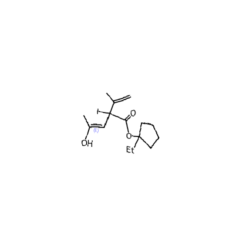 C=C(C)C(I)(/C=C(\C)O)C(=O)OC1(CC)CCCC1